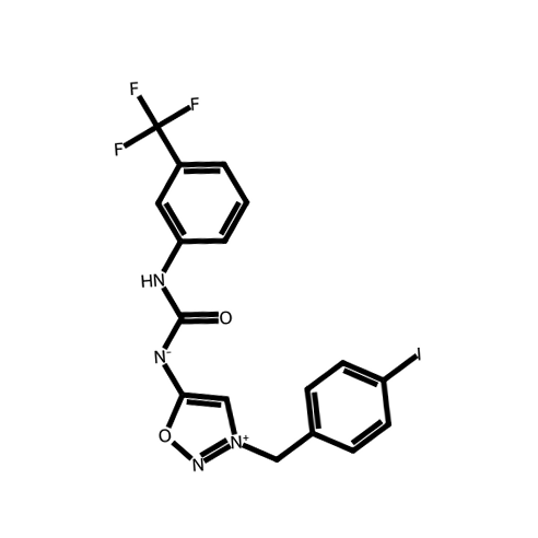 O=C([N-]c1c[n+](Cc2ccc(I)cc2)no1)Nc1cccc(C(F)(F)F)c1